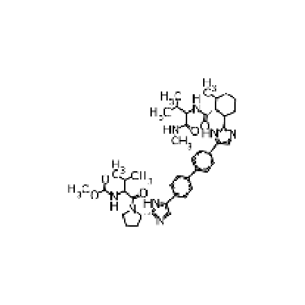 CNC(=O)C(NC(=O)[C@@H]1[C@@H](C)CCC[C@H]1c1ncc(-c2ccc(-c3ccc(-c4cnc([C@@H]5CCCN5C(=O)C(NC(=O)OC)C(C)C)[nH]4)cc3)cc2)[nH]1)C(C)C